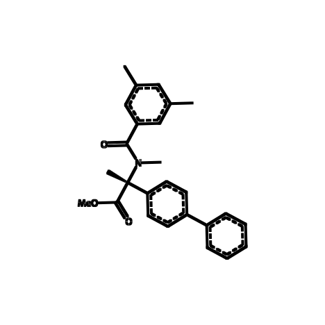 COC(=O)[C@@](C)(c1ccc(-c2ccccc2)cc1)N(C)C(=O)c1cc(C)cc(C)c1